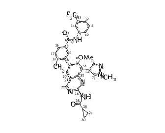 COc1c(-c2cc(C(=O)Nc3cccc(C(F)(F)F)c3)ccc2C)cc2cnc(NC(=O)C3CC3)nc2c1-c1cnn(C)c1